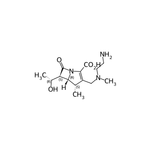 C[C@@H](O)[C@H]1C(=O)N2C(C(=O)O)=C(CN(C)CCN)[C@H](C)[C@H]12